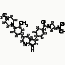 Cc1cc(-c2cnc3[nH]cc(-c4ccc(C(=O)N5CC(N(C)C)C5)cc4)c3c2)ccc1N1CCN(C)CC1